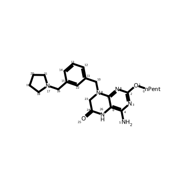 CCCCCOc1nc(N)c2c(n1)N(Cc1cccc(CN3CCCC3)c1)CC(=O)N2